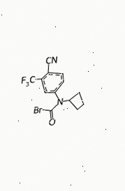 N#Cc1ccc(N(C(=O)Br)C2CCC2)cc1C(F)(F)F